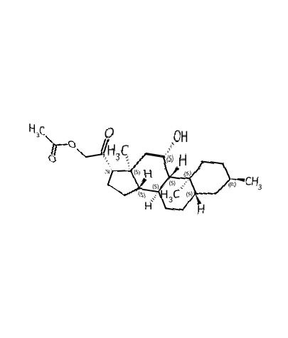 CC(=O)OCC(=O)[C@H]1CC[C@H]2[C@@H]3CC[C@H]4C[C@H](C)CC[C@]4(C)[C@H]3[C@@H](O)C[C@]12C